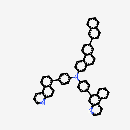 c1ccc2cc(-c3ccc4c(ccc5cc(N(c6ccc(-c7cccc8c7ccc7ncccc78)cc6)c6ccc(-c7cc8ncccc8c8ccccc78)cc6)ccc54)c3)ccc2c1